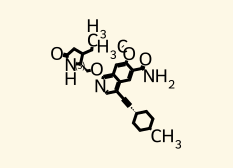 CCC1CC(=O)N[C@@H]1COc1ncc(C#C[C@H]2CC[C@H](C)CC2)c2cc(C(N)=O)c(OC)cc12